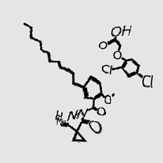 CCCCCCCCCCCc1ccc(OC)c(C(=O)N(N)C(=O)C2(C#N)CC2)c1.O=C(O)COc1ccc(Cl)cc1Cl